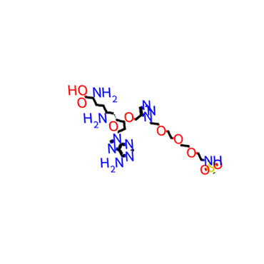 CS(=O)(=O)NCCOCCOCCOCCn1nncc1CO[C@H]1C[C@H](n2cnc3c(N)ncnc32)O[C@@H]1C[C@@H](N)CC[C@H](N)C(=O)O